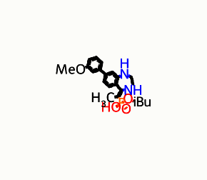 CCC(C)OP(=O)(O)C(C)=C1NCCNc2cc(-c3cccc(OC)c3)ccc21